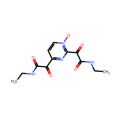 CCNC(=O)C(=O)c1cc[n+]([O-])c(C(=O)C(=O)NCC)n1